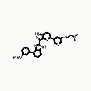 COc1cccc(-c2cccc3[nH]c(-c4n[nH]c5ccc(-c6cncc(OCCN(C)C)c6)nc45)nc23)c1